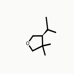 CC(C)[C@@H]1COCC1(C)C